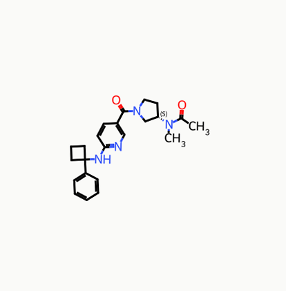 CC(=O)N(C)[C@H]1CCN(C(=O)c2ccc(NC3(c4ccccc4)CCC3)nc2)C1